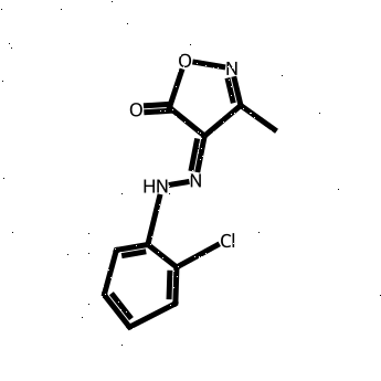 CC1=NOC(=O)C1=NNc1ccccc1Cl